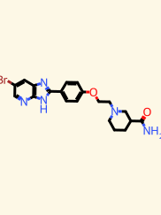 NC(=O)C1CCCN(CCOc2ccc(-c3nc4cc(Br)cnc4[nH]3)cc2)C1